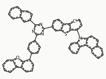 c1ccc2cc(-c3nc(-c4ccc(-c5cccc6c5oc5ccccc56)cc4)nc(-c4ccc5c(c4)sc4c(-n6c7ccccc7c7c8ccccc8ccc76)cccc45)n3)ccc2c1